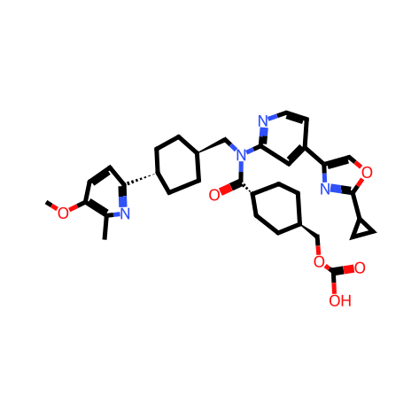 COc1ccc([C@H]2CC[C@H](CN(c3cc(-c4coc(C5CC5)n4)ccn3)C(=O)[C@H]3CC[C@H](COC(=O)O)CC3)CC2)nc1C